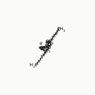 CCCCCCCCCCCCCCCCC(Oc1ccc(OCCCCCCCCCCCC)c(OC)c1)C(=O)NCc1cccc[n+]1C.[I-]